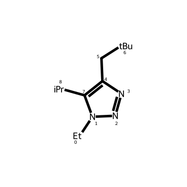 CCn1nnc(CC(C)(C)C)c1C(C)C